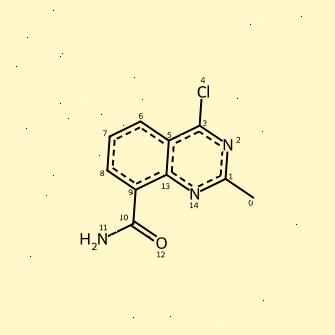 Cc1nc(Cl)c2cccc(C(N)=O)c2n1